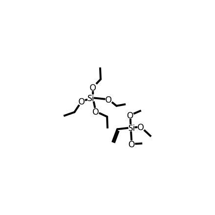 C=C[Si](OC)(OC)OC.CCO[Si](OCC)(OCC)OCC